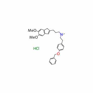 COc1cc2c(cc1OC)CC(CCCN(C)CCc1ccc(OCc3ccccc3)cc1)=C2.Cl